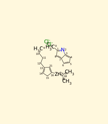 CC1=NC2=CC=CC2=C1.CCCCC1=CC[C]([Zr+2]=[C](C)C)=C1.[Cl-].[Cl-]